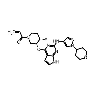 C=CC(=O)N1CC[C@H](F)[C@H](Oc2nc(Nc3cnn(C4CCOCC4)c3)nc3[nH]ccc23)C1